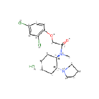 CN(C(=O)COc1ccc(Cl)cc1Cl)[C@@H]1CCCC[C@H]1N1CCCC1.Cl